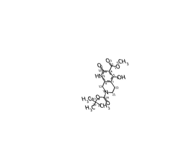 COC(=O)c1c(O)c2c([nH]c1=O)CN(C(=O)OC(C)(C)C)CC2